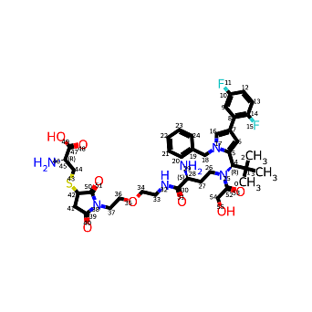 CC(C)(C)[C@H](c1cc(-c2cc(F)ccc2F)cn1Cc1ccccc1)N(CC[C@H](N)C(=O)NCCOCCN1C(=O)CC(SC[C@H](N)C(=O)O)C1=O)C(=O)CO